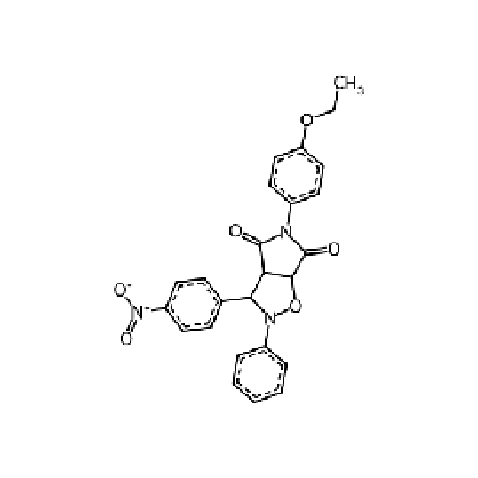 CCOc1ccc(N2C(=O)C3ON(c4ccccc4)C(c4ccc([N+](=O)[O-])cc4)C3C2=O)cc1